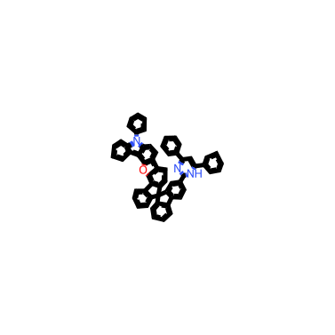 C1=C(c2ccccc2)NC(c2ccc3c(c2)C2(c4ccccc4-3)c3ccccc3-c3c2ccc2c3oc3c2ccc2c3c3ccccc3n2-c2ccccc2)N=C1c1ccccc1